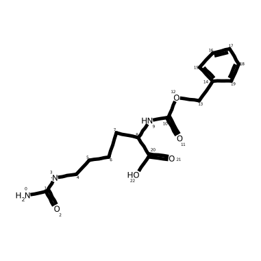 NC(=O)[N]CCCCC(NC(=O)OCc1ccccc1)C(=O)O